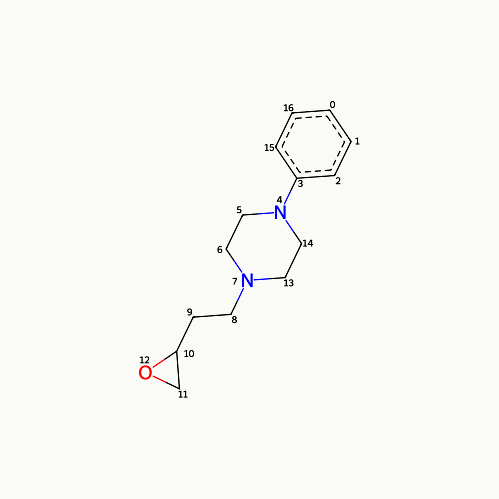 c1ccc(N2CCN(CCC3CO3)CC2)cc1